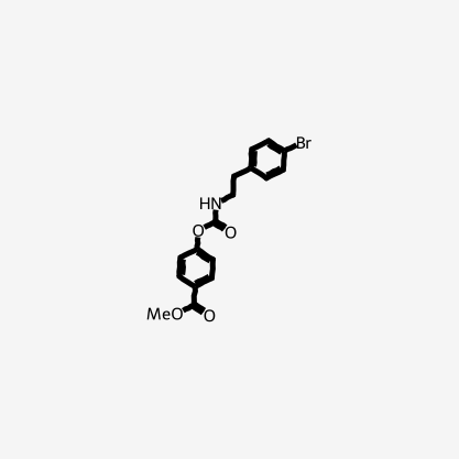 COC(=O)c1ccc(OC(=O)NCCc2ccc(Br)cc2)cc1